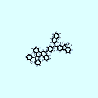 CC1C=CC=CC1n1c2ccccc2c2c3c4ccccc4c(-c4ccc(N(c5ccc6c(c5)C(C)(C)c5ccccc5-6)c5ccc6ccccc6c5)cc4)cc3c3ccccc3c21